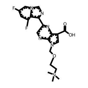 C[Si](C)(C)CCOCn1cc(C(=O)O)c2nc(-c3ncn4cc(F)cc(F)c34)cnc21